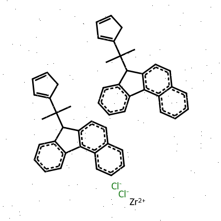 CC(C)(C1=CC=CC1)C1c2ccccc2-c2c1ccc1ccccc21.CC(C)(C1=CC=CC1)C1c2ccccc2-c2c1ccc1ccccc21.[Cl-].[Cl-].[Zr+2]